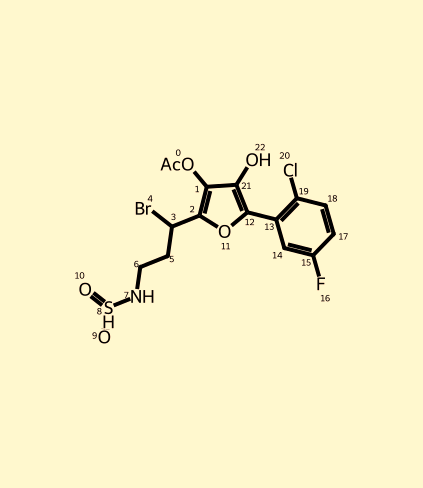 CC(=O)Oc1c(C(Br)CCN[SH](=O)=O)oc(-c2cc(F)ccc2Cl)c1O